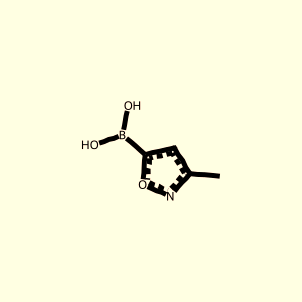 Cc1cc(B(O)O)on1